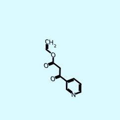 C=COC(=O)CC(=O)c1cccnc1